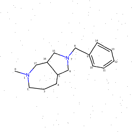 CN1CCCC2CN(Cc3ccccc3)CC2C1